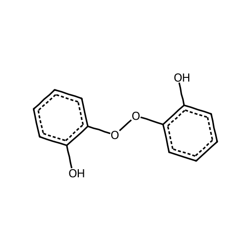 Oc1ccccc1OOc1ccccc1O